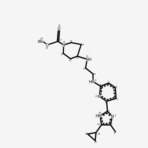 Cc1nc(-c2cccc(NCCNC3CCN(C(=O)OC(C)(C)C)CC3)n2)[nH]c1C1CC1